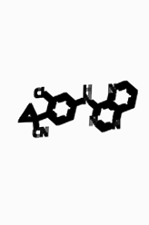 N#CC1(c2ccc(Nc3ncnc4cccnc34)cc2Cl)CC1